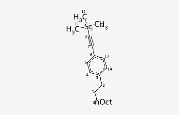 CCCCCCCCCCc1ccc(C#C[Si](C)(C)C)cc1